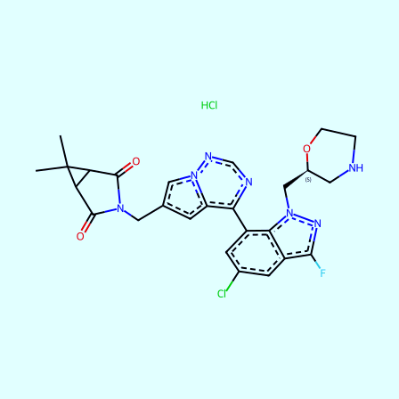 CC1(C)C2C(=O)N(Cc3cc4c(-c5cc(Cl)cc6c(F)nn(C[C@@H]7CNCCO7)c56)ncnn4c3)C(=O)C21.Cl